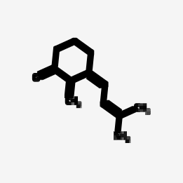 C=C1C(=O)CCC/C1=C/C=C(\C)N